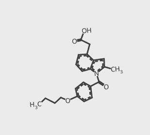 CCCCOc1ccc(C(=O)n2c(C)cc3c(CC(=O)O)cccc32)cc1